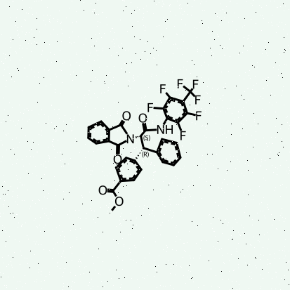 COC(=O)c1ccc([C@@H](c2ccccc2)[C@@H](C(=O)Nc2c(F)c(F)c(C(F)(F)F)c(F)c2F)N2C(=O)c3ccccc3C2=O)cc1